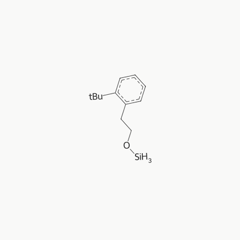 CC(C)(C)c1ccccc1CCO[SiH3]